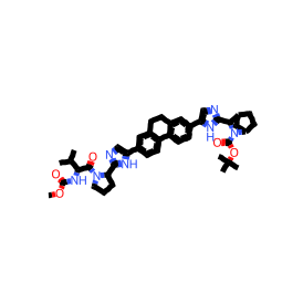 COC(=O)NC(C(=O)N1CCCC1c1ncc(-c2ccc3c(c2)CCc2cc(-c4cnc(C5C6CCC(C6)N5C(=O)OC(C)(C)C)[nH]4)ccc2-3)[nH]1)C(C)C